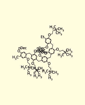 CCCCCCCCCCOc1cc(Cc2cc(OCC[N+](C)(C)C)c(Cc3cc(OCC[N+](C)(C)C)c(Cc4cc(OCC[N+](C)(C)C)c(Cc5cc(OCC[N+](C)(C)C)c(CC)cc5OCCCCCCCCCC)cc4OCCCCCCCCCC)cc3OCCCCCCCCCC)cc2OCCCCCCCCCC)c(OCC[N+](C)(C)C)cc1C